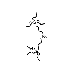 CCO[Si](CCCCN(C)CCCC[Si](OCC)(OCC)OCC)(OCC)OCC